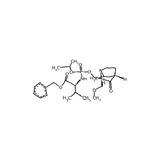 COC[C@]1(COP(=O)(N[C@H](C(=O)OCc2ccccc2)C(C)C)OC(C)C)C(=O)[C@H]2CCN1[C@H](C)C2